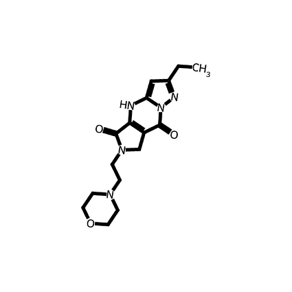 CCc1cc2[nH]c3c(c(=O)n2n1)CN(CCN1CCOCC1)C3=O